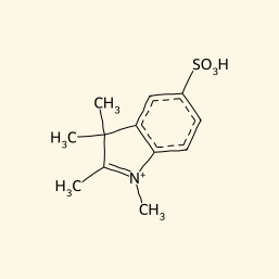 CC1=[N+](C)c2ccc(S(=O)(=O)O)cc2C1(C)C